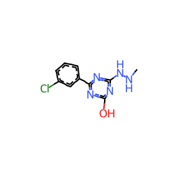 CNNc1nc(O)nc(-c2cccc(Cl)c2)n1